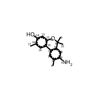 Cc1cc2c(cc1N)C(C)(C)Oc1cc(O)c(C)cc1-2